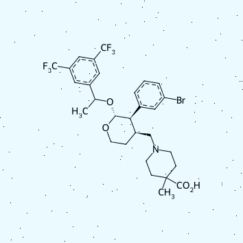 CC(O[C@H]1OCC[C@H](CN2CCC(C)(C(=O)O)CC2)[C@@H]1c1cccc(Br)c1)c1cc(C(F)(F)F)cc(C(F)(F)F)c1